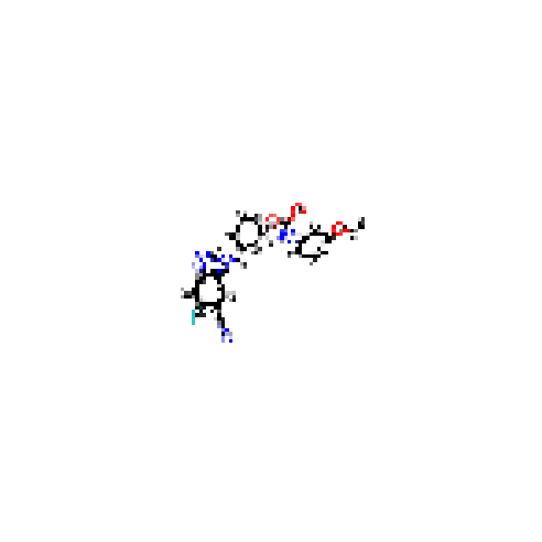 CCOc1cccc(N2C[C@@]3(CCC[C@H](Cn4cnc5cc(F)c(C#N)cc54)C3)OC2=O)c1